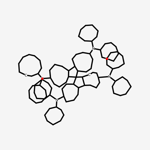 C1CCCCC(N(C2CCCCCCC2)C2CCCC3C4CCCC(N(C5CCCCCCC5)C5CCCCCCC5)CCCC4C4(C3CCC2)C2CCCC(N(C3CCCCCCC3)C3CCCCCCC3)CCCC2C2CCCC(N(C3CCCCCCC3)C3CCCCCCC3)CCC24)CCCC1